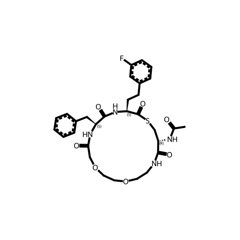 CC(=O)N[C@H]1CSC(=O)[C@H](CCc2cccc(F)c2)NC(=O)[C@H](Cc2ccccc2)NC(=O)COCCOCCNC1=O